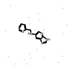 c1ccc(CNc2cnc3[nH]cnc3c2)nc1